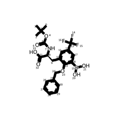 CC(C)(C)OC(=O)N[C@@H](Cc1cc(C(F)(F)F)cc(B(O)O)c1OCc1ccccc1)C(=O)O